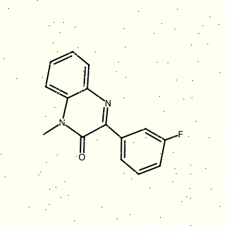 Cn1c(=O)c(-c2cccc(F)c2)nc2ccccc21